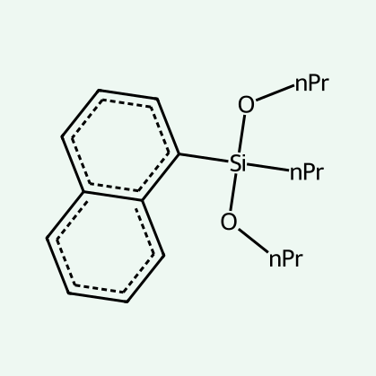 CCCO[Si](CCC)(OCCC)c1cccc2ccccc12